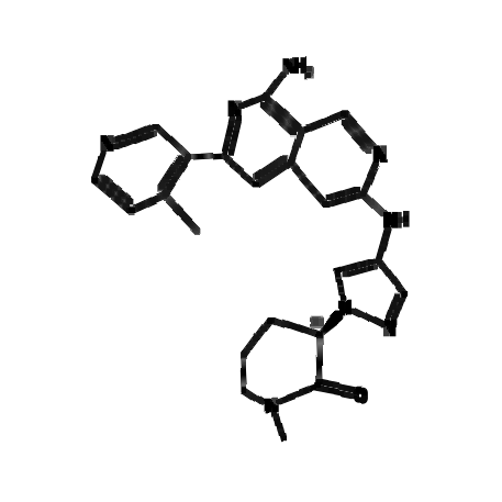 Cc1ccncc1-c1cc2cc(Nc3cnn([C@@H]4CCCN(C)C4=O)c3)ncc2c(N)n1